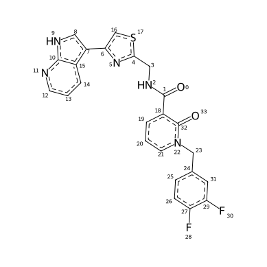 O=C(NCc1nc(-c2c[nH]c3ncccc23)cs1)c1cccn(Cc2ccc(F)c(F)c2)c1=O